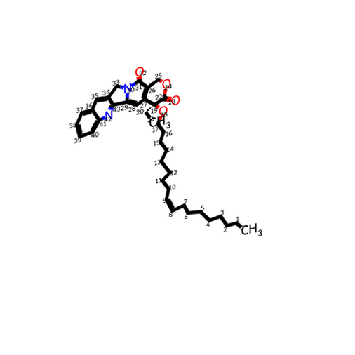 CCCCCCCC/C=C\CCCCCCCCO[C@]1(CC)C(=O)OCc2c1cc1n(c2=O)Cc2cc3ccccc3nc2-1